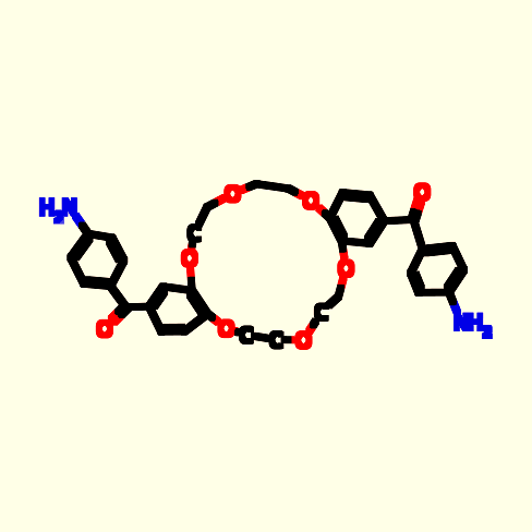 Nc1ccc(C(=O)c2ccc3c(c2)OCCOCCOc2ccc(C(=O)c4ccc(N)cc4)cc2OCCOCCO3)cc1